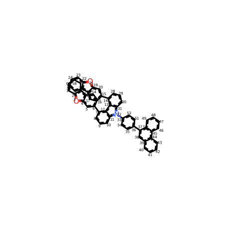 C1=Cc2oc3cc(-c4cccc5c4c4c(-c6ccc7c(c6)oc6ccccc67)cccc4n5-c4ccc(-c5cc6ccccc6c6ccccc56)cc4)ccc3c2CC1